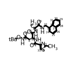 Cc1nc(C(=O)N[C@@H](CC(=O)NOC(C)(C)C)C(=O)N[C@@H](C)C(=O)NCc2cccc3ccccc23)cs1